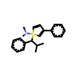 CC(C)C(c1ccccc1)S1(N(C)C)C=CC(c2ccccc2)=C1